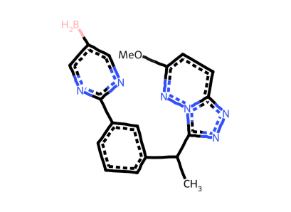 Bc1cnc(-c2cccc(C(C)c3nnc4ccc(OC)nn34)c2)nc1